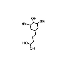 CC(C)(C)C1CC(CSCC(O)O)CC(C(C)(C)C)C1O